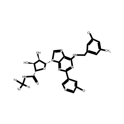 [2H]C([2H])([2H])NC(=O)[C@H]1O[C@@H](n2cnc3c(NCc4cc(C)cc(Cl)c4)nc(-c4cncc(Cl)c4)nc32)[C@H](O)[C@@H]1O